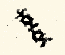 O=C(Nc1ccc([N+](=O)[O-])cc1)c1ccc(C(F)(F)F)cc1